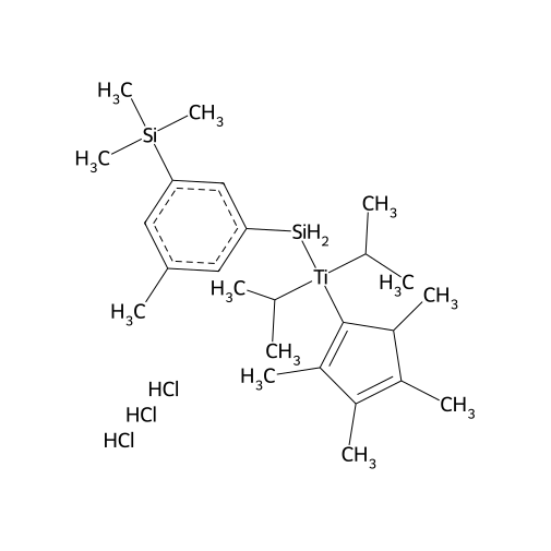 CC1=C(C)C(C)[C]([Ti]([SiH2]c2cc(C)cc([Si](C)(C)C)c2)([CH](C)C)[CH](C)C)=C1C.Cl.Cl.Cl